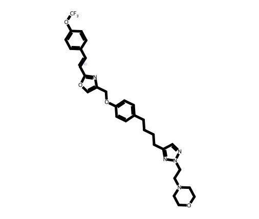 FC(F)(F)Oc1ccc(/C=C/c2nc(COc3ccc(CCCCc4cnn(CCN5CCOCC5)n4)cc3)co2)cc1